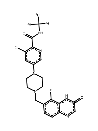 [2H]C([2H])([2H])NC(=O)c1ncc(N2CCN(Cc3ccc4ncc(=O)[nH]c4c3F)CC2)cc1Cl